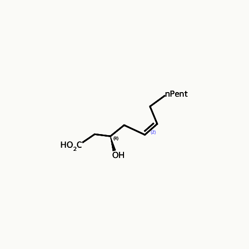 CCCCCC/C=C\C[C@@H](O)CC(=O)O